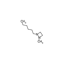 CCCCCCN1CCN1C